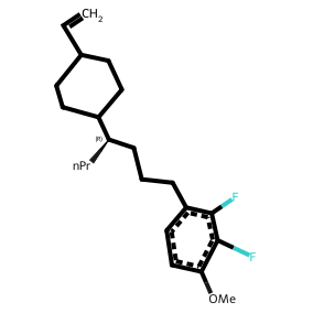 C=CC1CCC([C@H](CCC)CCCc2ccc(OC)c(F)c2F)CC1